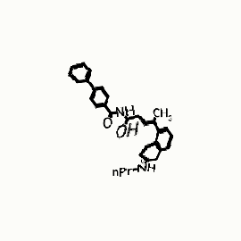 CCCN[C@H]1CCc2c(cccc2C(C)CCC(O)NC(=O)c2ccc(-c3ccccc3)cc2)C1